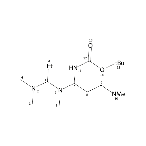 CCC(N(C)C)N(C)C(CCNC)NC(=O)OC(C)(C)C